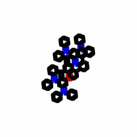 C1=CC(c2ccccc2)=C(N2c3cc4c(cc3B3c5ccccc5N(c5ccccc5)c5cc(N(c6ccccc6)c6ccccc6)cc2c53)B2c3ccccc3N(c3ccccc3)c3cc(N(c5ccccc5)c5ccccc5)cc(c32)O4)C(c2ccccc2)C1